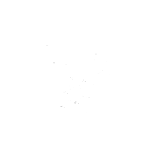 CC1N(C)c2c(nc(N)n(C)c2=O)N1CCCCO.CCC(=O)O